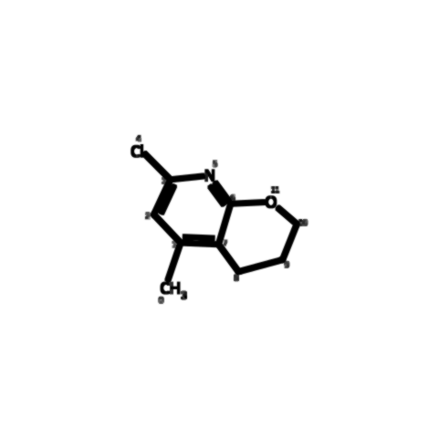 Cc1cc(Cl)nc2c1CCCO2